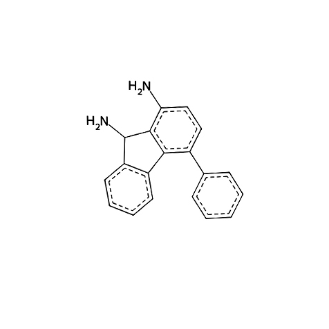 Nc1ccc(-c2ccccc2)c2c1C(N)c1ccccc1-2